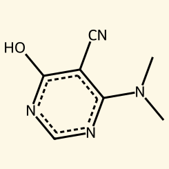 CN(C)c1ncnc(O)c1C#N